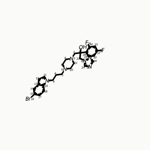 OC(CN1CCN(CCCn2ccc3cc(Br)ccc32)CC1)(Cn1cncn1)c1ccc(F)cc1F